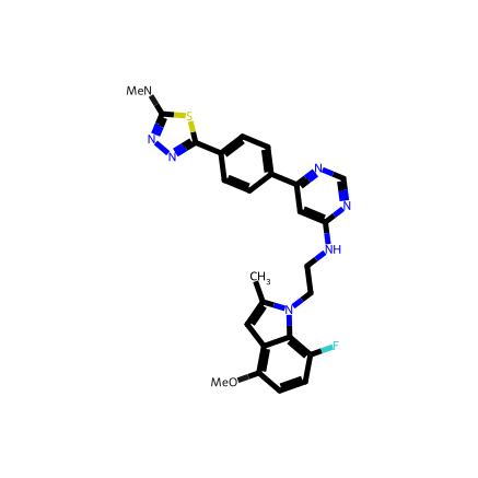 CNc1nnc(-c2ccc(-c3cc(NCCn4c(C)cc5c(OC)ccc(F)c54)ncn3)cc2)s1